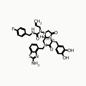 C=CCN(C(=O)NCc1ccc(F)cc1)N1CC(=O)N2[C@@H](Cc3ccc(O)c(O)c3)C(=O)N(Cc3cccc4sc(N)nc34)C[C@@H]21